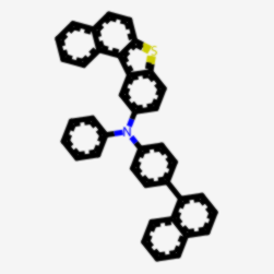 c1ccc(N(c2ccc(-c3cccc4ccccc34)cc2)c2ccc3sc4ccc5ccccc5c4c3c2)cc1